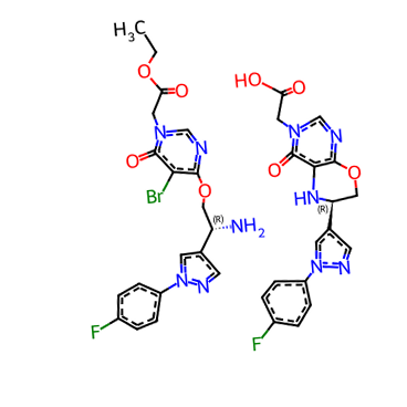 CCOC(=O)Cn1cnc(OC[C@H](N)c2cnn(-c3ccc(F)cc3)c2)c(Br)c1=O.O=C(O)Cn1cnc2c(c1=O)N[C@H](c1cnn(-c3ccc(F)cc3)c1)CO2